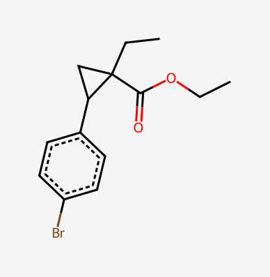 CCOC(=O)C1(CC)CC1c1ccc(Br)cc1